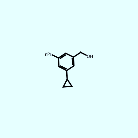 CCCc1cc([CH]O)cc(C2CC2)c1